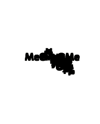 COC1CN=CC(C2CC(C)C3C(=O)N(c4cnn(CC(F)F)c4)C(OC)C3=N2)C1